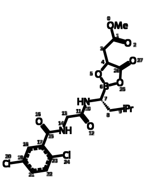 COC(=O)CC1OB([C@H](CC(C)C)NC(=O)CNC(=O)c2cc(Cl)ccc2Cl)OC1=O